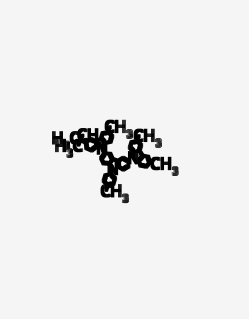 Cc1ccc(-n2c3ccc(-n4c5ccc(C)cc5c5cc(C)ccc54)cc3c3cc(-n4c5ccc(C)cc5c5cc(C(C)(C)C)ccc54)ccc32)cc1